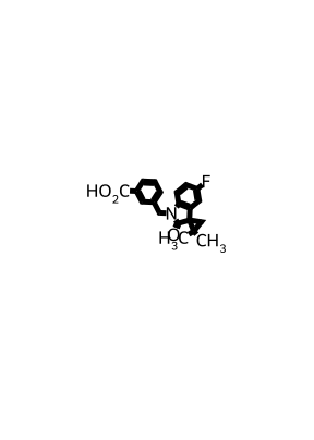 CC1(C)CC12C(=O)N(Cc1cccc(C(=O)O)c1)c1ccc(F)cc12